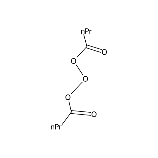 CCCC(=O)OOOC(=O)CCC